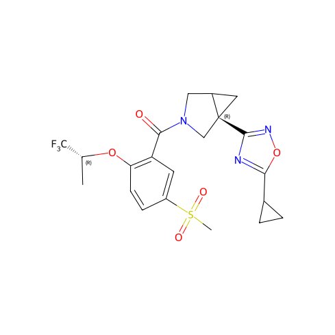 C[C@@H](Oc1ccc(S(C)(=O)=O)cc1C(=O)N1CC2C[C@]2(c2noc(C3CC3)n2)C1)C(F)(F)F